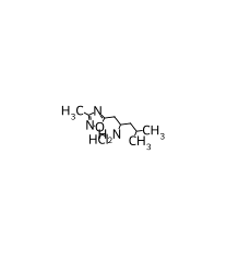 Cc1noc(CC(N)CC(C)C)n1.Cl